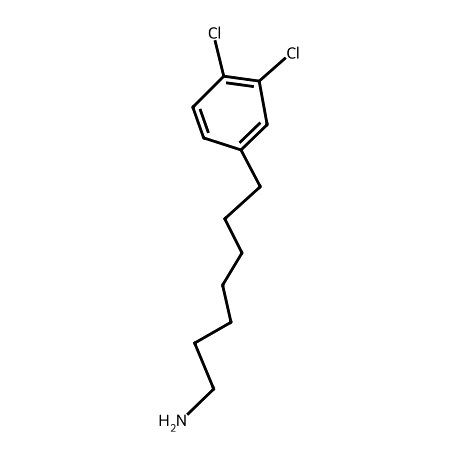 NCCCCCCCc1ccc(Cl)c(Cl)c1